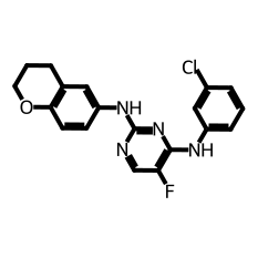 Fc1cnc(Nc2ccc3c(c2)CCCO3)nc1Nc1cccc(Cl)c1